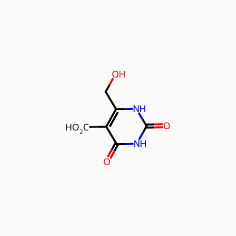 O=C(O)c1c(CO)[nH]c(=O)[nH]c1=O